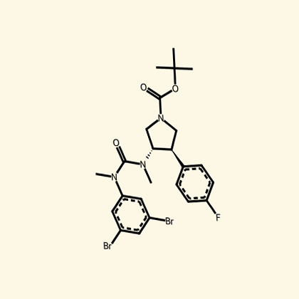 CN(C(=O)N(C)[C@@H]1CN(C(=O)OC(C)(C)C)C[C@H]1c1ccc(F)cc1)c1cc(Br)cc(Br)c1